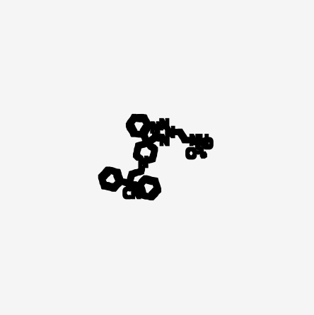 CS(=O)(=O)NCCn1nnc(C2(c3ccccc3)CCN(CCC(C#N)(c3ccccc3)c3ccccc3)CC2)n1